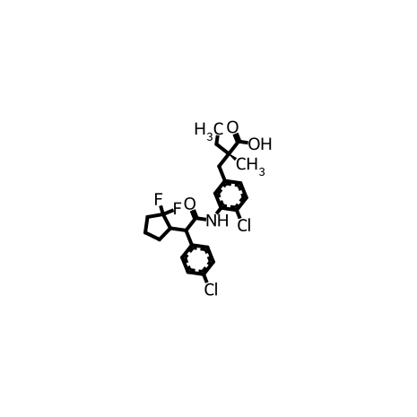 CC[C@@](C)(Cc1ccc(Cl)c(NC(=O)C(c2ccc(Cl)cc2)C2CCCC2(F)F)c1)C(=O)O